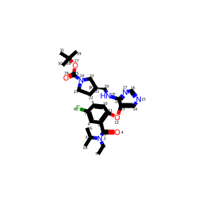 CCN(C(=O)c1cc(F)ccc1Oc1cncnc1NC[C@H]1CCN(C(=O)OC(C)(C)C)C1)C(C)C